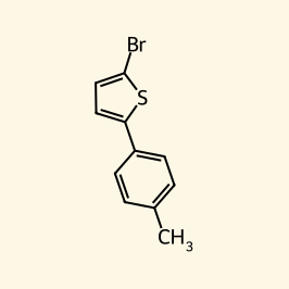 Cc1ccc(-c2ccc(Br)s2)cc1